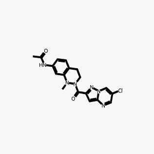 CC(=O)Nc1ccc2c(c1)N(C)N(C(=O)c1cc3ncc(Cl)cn3n1)CC2